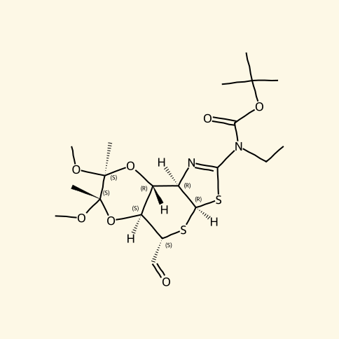 CCN(C(=O)OC(C)(C)C)C1=N[C@H]2[C@@H](S1)S[C@H](C=O)[C@H]1O[C@](C)(OC)[C@@](C)(OC)O[C@H]21